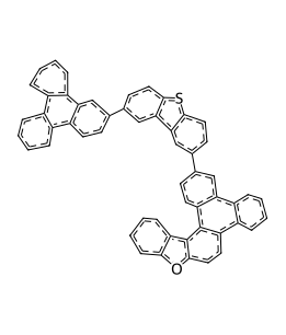 c1ccc2c(c1)oc1ccc3c4ccccc4c4cc(-c5ccc6sc7ccc(-c8ccc9c%10ccccc%10c%10ccccc%10c9c8)cc7c6c5)ccc4c3c12